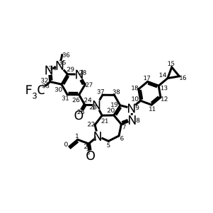 C=CC(=O)N1CCc2nn(-c3ccc(C4CC4)cc3)c3c2C(C1)N(C(=O)c1cnc2c(c1)c(C(F)(F)F)nn2C)CC3